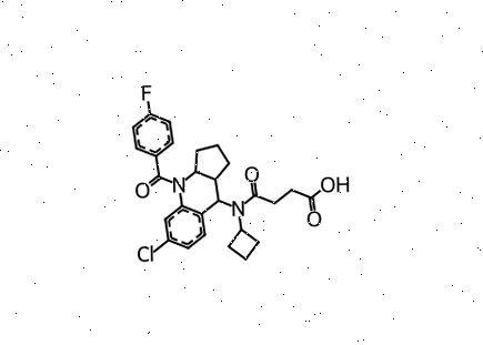 O=C(O)CCC(=O)N(C1CCC1)C1c2ccc(Cl)cc2N(C(=O)c2ccc(F)cc2)C2CCCC21